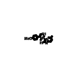 CCc1nc2ccc(C)cn2c1N(C)N(C)/C(=C\S)c1ccc(OC)cc1